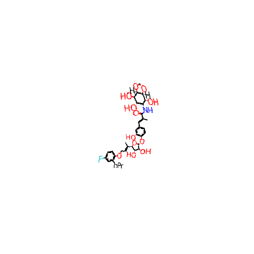 CCCc1cc(F)ccc1OC/C=C(\C)[C@H]1O[C@@H](Oc2ccc(/C=C(\C)C(=O)N[C@@H]3[C@H](O)[C@@H](O)[C@H]4OCO[C@H]4[C@@H]3O)cc2O)[C@@H](O)[C@@H]1O